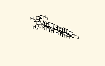 C=C(C)C(=O)OC(C)C(F)(F)C(F)(F)C(F)(F)C(F)(F)C(F)(F)C(F)(F)C(F)(F)C(F)(F)C(F)(F)C(F)(F)C(F)(F)C(F)(F)C(F)(F)C(F)(F)F